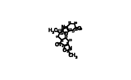 Cc1nc2c(o1)C(=O)C(CC(C)c1nc3c(o1)CC(=O)CC3)CC2